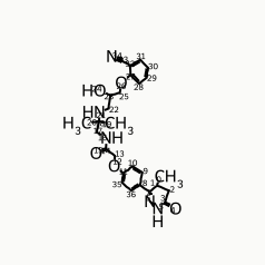 CC1CC(=O)NN=C1c1ccc(OCC(=O)NCC(C)(C)NCC(O)COc2ccccc2C#N)cc1